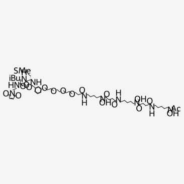 CC[C@H](C)[C@H](NC(=O)[C@H](CCSC)NC(=O)c1cccc(OCCOCCOCCOCCC(=O)NCCCCCN(O)C(=O)CCC(=O)NCCCCCN(O)C(=O)CCC(=O)NCCCCCN(O)C(C)=O)c1)C(=O)NCCN1C(=O)C=CC1=O